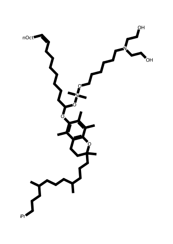 CCCCCCCC/C=C\CCCCCCCC(Oc1c(C)c(C)c2c(c1C)CCC(C)(CCCC(C)CCCC(C)CCCC(C)C)O2)O[Si](C)(C)OCCCCCCN(CCO)CCO